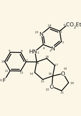 CCOC(=O)c1cnc(NC2(c3cccc(F)c3)CCC3(CC2)OCCO3)nc1